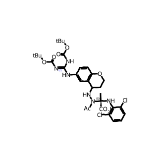 CC(=O)N(NC1CCOc2ccc(N/C(=N/C(=O)OC(C)(C)C)NC(=O)OC(C)(C)C)cc21)[C@](C)(Nc1c(Cl)cccc1Cl)C(=O)O